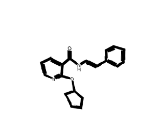 O=C(NC=Cc1ccccc1)c1cccnc1OC1CCCC1